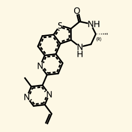 C=Cc1cnc(C)c(-c2ccc3c(ccc4sc5c(c43)NC[C@@H](C)NC5=O)n2)n1